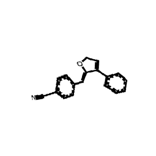 N#Cc1ccc(C=C2OCC=C2c2ccccc2)cc1